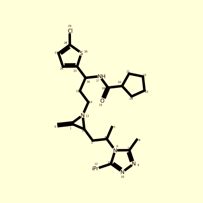 C=C1C(CC(C)n2c(C)nnc2C(C)C)N1CCC(NC(=O)C1CCCC1)c1ccc(Cl)s1